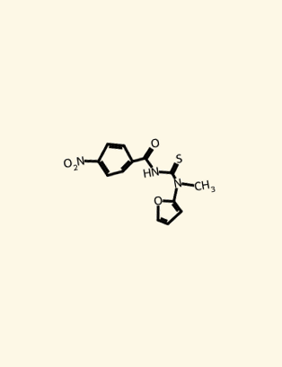 CN(C(=S)NC(=O)c1ccc([N+](=O)[O-])cc1)c1ccco1